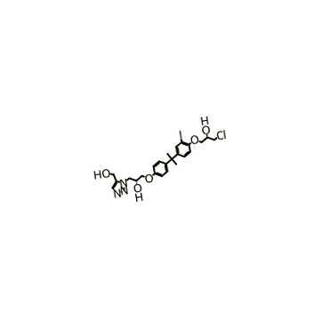 CC(C)(c1ccc(OC[C@H](O)Cn2nncc2CO)cc1)c1ccc(OC[C@@H](O)CCl)c(I)c1